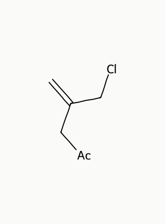 C=C(CCl)CC(C)=O